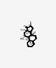 C[C@]12CCCC=C1CC[C@@H]1[C@@H]2[C@H](O)C[C@]2(C)C(=O)[C@@H](F)C[C@@H]12